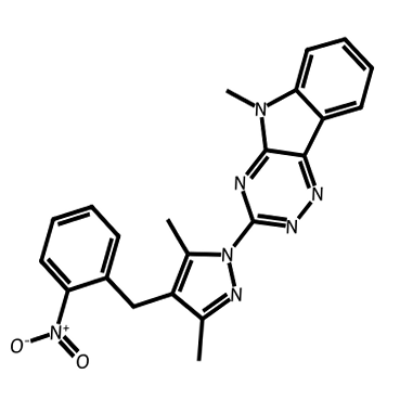 Cc1nn(-c2nnc3c4ccccc4n(C)c3n2)c(C)c1Cc1ccccc1[N+](=O)[O-]